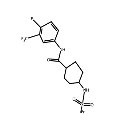 CC(C)S(=O)(=O)NC1CCC(C(=O)Nc2ccc(F)c(C(F)(F)F)c2)CC1